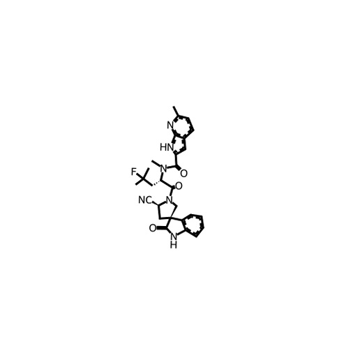 Cc1ccc2cc(C(=O)N(C)[C@@H](CC(C)(C)F)C(=O)N3C[C@]4(C[C@H]3C#N)C(=O)Nc3ccccc34)[nH]c2n1